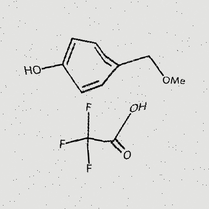 COCc1ccc(O)cc1.O=C(O)C(F)(F)F